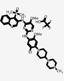 CCc1cc(Nc2ncc(OC)c(Nc3cnc4ccccc4c3P(C)(C)=O)n2)c(OC)cc1N1CCC(N2CCN(C)CC2)CC1.O=C(O)C(F)(F)F